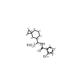 CCOC(=O)C(NC(=O)c1conc1CC)C1CCCC2(CC2)C1